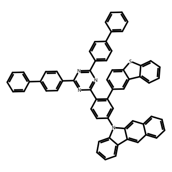 c1ccc(-c2ccc(-c3nc(-c4ccc(-c5ccccc5)cc4)nc(-c4ccc(-n5c6ccccc6c6cc7ccccc7cc65)cc4-c4ccc5sc6ccccc6c5c4)n3)cc2)cc1